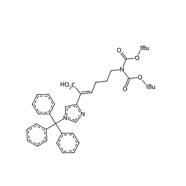 CC(C)(C)OC(=O)N(CCC/C=C(\C(=O)O)c1cn(C(c2ccccc2)(c2ccccc2)c2ccccc2)cn1)C(=O)OC(C)(C)C